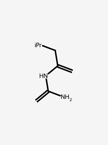 C=C(N)NC(=C)CC(C)C